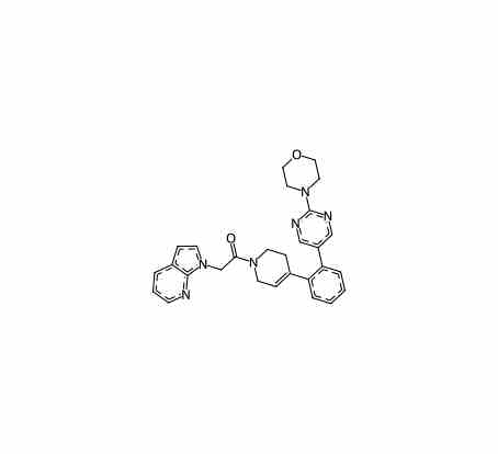 O=C(Cn1ccc2cccnc21)N1CC=C(c2ccccc2-c2cnc(N3CCOCC3)nc2)CC1